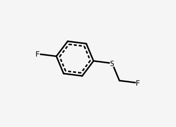 FCSc1ccc(F)cc1